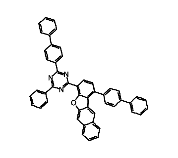 c1ccc(-c2ccc(-c3nc(-c4ccccc4)nc(-c4ccc(-c5ccc(-c6ccccc6)cc5)c5c4oc4cc6ccccc6cc45)n3)cc2)cc1